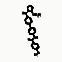 CCOc1ccc(C(=O)Nc2ccc(-c3ccc(C(=O)[C@@H]4CCC[C@H]4C(=O)O)cc3)cc2)cc1